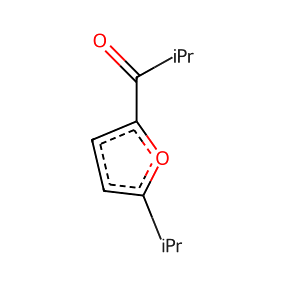 CC(C)C(=O)c1ccc(C(C)C)o1